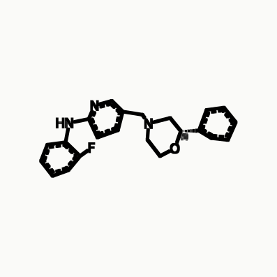 Fc1ccccc1Nc1ccc(CN2CCO[C@@H](c3ccccc3)C2)cn1